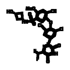 COc1cc(C#N)c(Oc2c(Cl)cc(-n3nc(C(F)F)c(=O)[nH]c3=O)cc2Cl)cc1S(=O)(=O)N[C@H]1C[C@H](O)C1